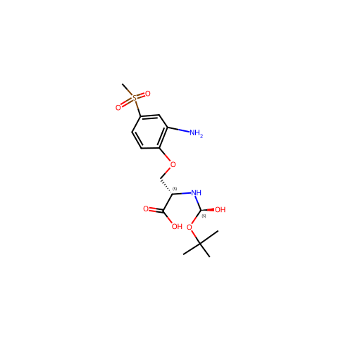 CC(C)(C)O[C@H](O)N[C@@H](COc1ccc(S(C)(=O)=O)cc1N)C(=O)O